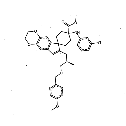 COC(=O)C1(Nc2cccc(Cl)c2)CCC2(CC1)C(C[C@@H](C)COCc1ccc(OC)cc1)=Cc1cc3c(cc12)OCCO3